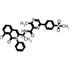 Cc1ncc(-c2ccc(S(C)(=O)=O)cc2)nc1C(=O)N[C@@H](C)c1cc2cccc(Cl)c2c(=O)n1-c1ccccc1